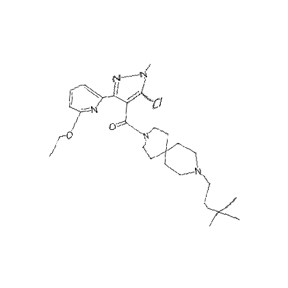 CCOc1cccc(-c2nn(C)c(Cl)c2C(=O)N2CCC3(CCN(CCC(C)(C)C)CC3)CC2)n1